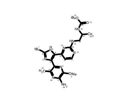 COc1nc(-c2nc(C(C)(C)C)[nH]c2-c2ccnc(NCC(C)NC(=O)OCC(C)C)n2)c(C)nc1N